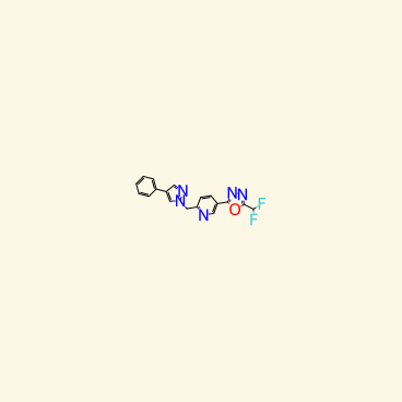 FC(F)c1nnc(-c2ccc(Cn3cc(-c4ccccc4)cn3)nc2)o1